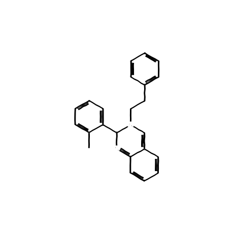 Cc1ccccc1C1N=c2ccccc2=CN1CCc1ccccc1